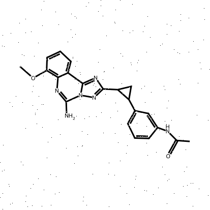 COc1cccc2c1nc(N)n1nc(C3CC3c3cccc(NC(C)=O)c3)nc21